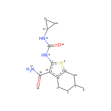 CC1CCc2c(sc(NC(=O)NC3CC3)c2C(N)=O)C1